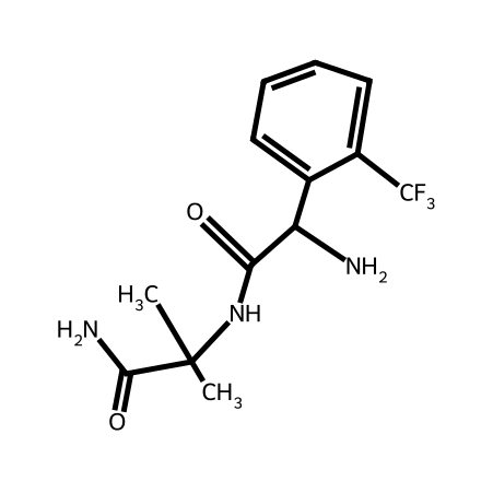 CC(C)(NC(=O)C(N)c1ccccc1C(F)(F)F)C(N)=O